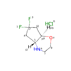 Cl.FC1(F)C[C@H]2NCCO[C@@H]2C1